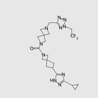 O=C(N1CC2(CC(c3nc(C4CC4)n[nH]3)C2)C1)N1CC2(CN(Cc3nnn(CC(F)(F)F)n3)C2)C1